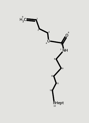 C=CCCOC(=O)NCCCCCCCCCCCC